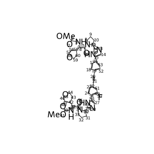 COC(=O)N[C@H](C(=O)N1CCC[C@H]1c1ncc(-c2ccc(C#Cc3ccc(-c4cnc([C@@H]5CCCN5C(=O)[C@@H](NC(=O)OC)C5CCOCC5)[nH]4)c(F)c3)cc2)[nH]1)C1CCOCC1